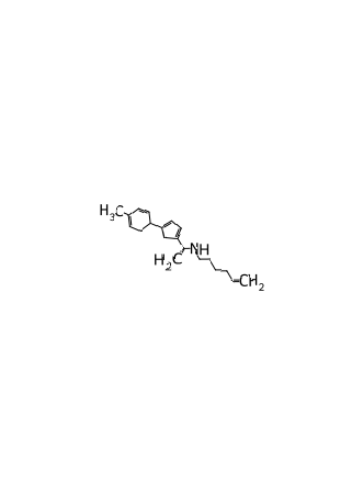 C=CCCCCNC(=C)C1=CC=C(C2C=CC(C)=CC2)C1